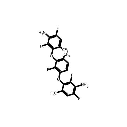 Nc1c(F)cc(C(F)(F)F)c(Oc2ccc(C(F)(F)F)c(Oc3c(C(F)(F)F)cc(F)c(N)c3F)c2F)c1F